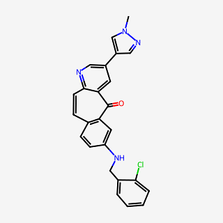 Cn1cc(-c2cnc3ccc4ccc(NCc5ccccc5Cl)cc4c(=O)c3c2)cn1